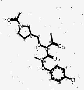 CC(=O)N1CCC(CON(C(C)=O)C(=O)[C@H](C)Oc2ccc(Cl)cc2)C1